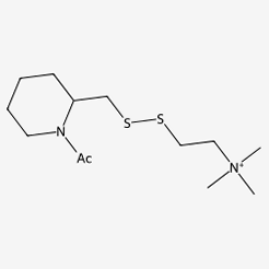 CC(=O)N1CCCCC1CSSCC[N+](C)(C)C